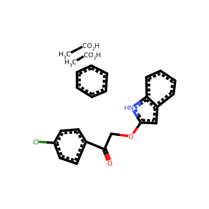 CC(=O)O.CC(=O)O.O=C(COc1cc2ccccc2[nH]1)c1ccc(Cl)cc1.c1ccccc1